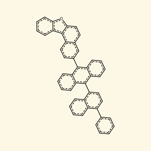 c1ccc(-c2ccc(-c3c4ccccc4c(-c4ccc5c(ccc6oc7ccccc7c65)c4)c4ccccc34)c3ccccc23)cc1